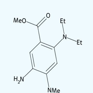 CCN(CC)c1cc(NC)c(N)cc1C(=O)OC